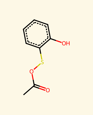 CC(=O)OSc1ccccc1O